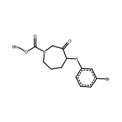 CC(C)(C)OC(=O)N1CCCC(Sc2cccc(Br)c2)C(=O)C1